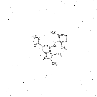 COC(=O)c1cc(NCc2c(C)cccc2C)n2c(C)c(C)nc2c1